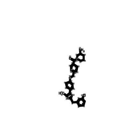 Cc1oc(Cc2cccc(Cl)c2)nc1-c1ccc(OCc2ccc(C(=O)N3CCCC(N)C3)cn2)cc1